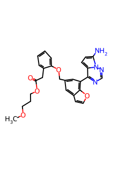 COCCCOC(=O)Cc1ccccc1OCc1cc(-c2ncnn3c(N)ccc23)c2occc2c1